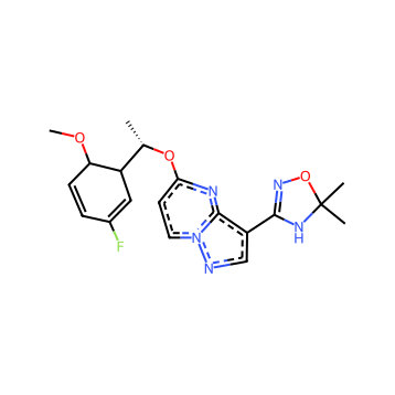 COC1C=CC(F)=CC1[C@H](C)Oc1ccn2ncc(C3=NOC(C)(C)N3)c2n1